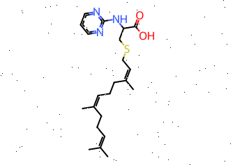 CC(C)=CCCC(C)=CCCC(C)=CCSCC(Nc1ncccn1)C(=O)O